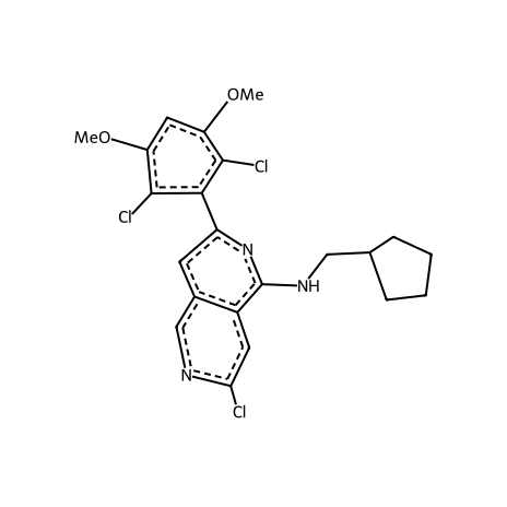 COc1cc(OC)c(Cl)c(-c2cc3cnc(Cl)cc3c(NCC3CCCC3)n2)c1Cl